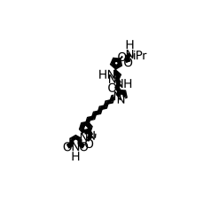 CC(C)NC(=O)O[C@@H]1CC[C@H](c2cc(NC(=O)c3ccnn3CCCCCCCCCc3ccc4c(c3)n(C)c(=O)n4C3CCC(=O)NC3=O)n[nH]2)C1